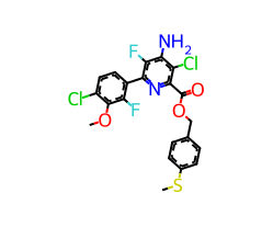 COc1c(Cl)ccc(-c2nc(C(=O)OCc3ccc(SC)cc3)c(Cl)c(N)c2F)c1F